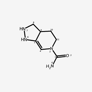 NC(=O)N1C=C2NNCC2CC1